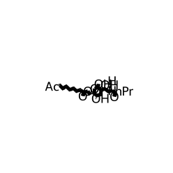 CCCC(=O)NC[C@@H](O)C1C[C@H](O)[C@@H](COC(=O)CCCCCCCC(C)=O)OC1O